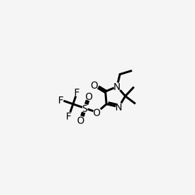 CCN1C(=O)C(OS(=O)(=O)C(F)(F)F)=NC1(C)C